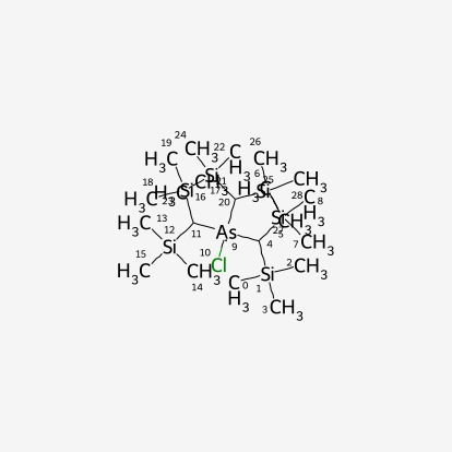 C[Si](C)(C)C([Si](C)(C)C)[As](Cl)(C([Si](C)(C)C)[Si](C)(C)C)C([Si](C)(C)C)[Si](C)(C)C